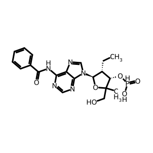 CC[C@H]1[C@H](n2cnc3c(NC(=O)c4ccccc4)ncnc32)OC(C)(CO)[C@H]1O[PH](=O)O